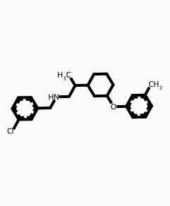 Cc1cccc(OC2CCCC(C(C)CNCc3cccc(Cl)c3)C2)c1